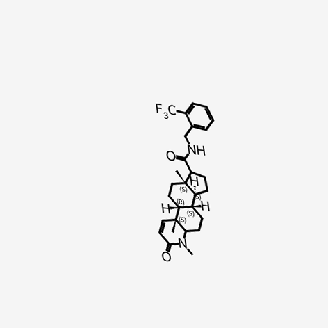 CN1C(=O)C=C[C@@]2(C)C1CC[C@@H]1[C@H]2CC[C@]2(C)C(C(=O)NCc3ccccc3C(F)(F)F)CC[C@@H]12